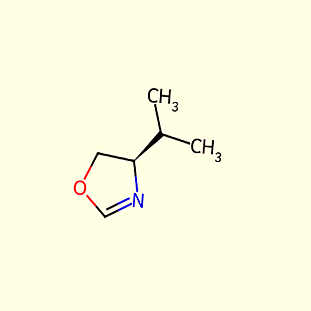 CC(C)[C@@H]1COC=N1